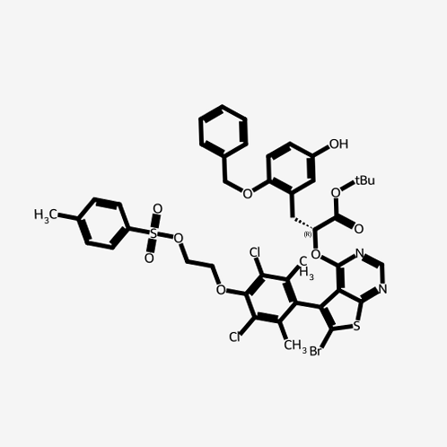 Cc1ccc(S(=O)(=O)OCCOc2c(Cl)c(C)c(-c3c(Br)sc4ncnc(O[C@H](Cc5cc(O)ccc5OCc5ccccc5)C(=O)OC(C)(C)C)c34)c(C)c2Cl)cc1